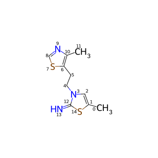 Cc1cn(CCc2scnc2C)c(=N)s1